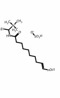 CCCCCCCCC=CCCCCCCCC(=O)NC(CC)[N+](C)(C)C.O=S(=O)([O-])O